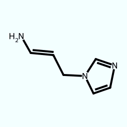 NC=CCn1ccnc1